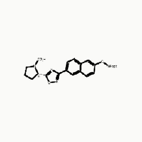 CCCCCCCOc1ccc2cc(-c3noc([C@@H]4CCCN4C(=O)O)n3)ccc2c1